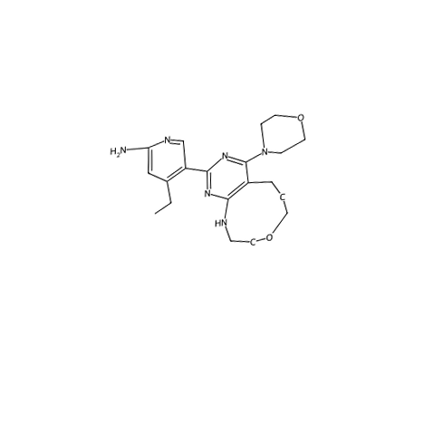 CCc1cc(N)ncc1-c1nc2c(c(N3CCOCC3)n1)CCCOCCN2